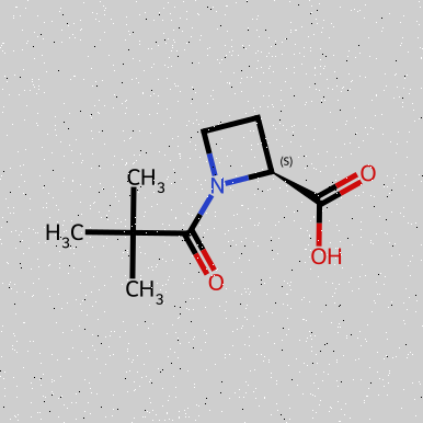 CC(C)(C)C(=O)N1CC[C@H]1C(=O)O